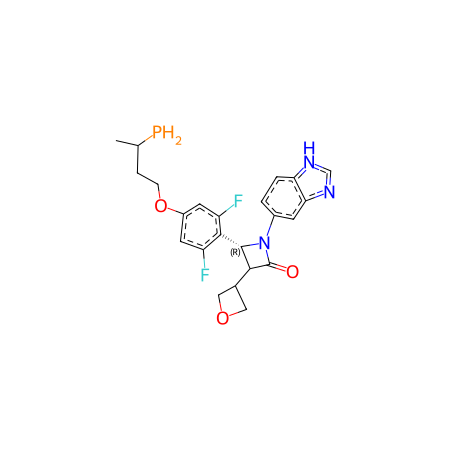 CC(P)CCOc1cc(F)c([C@H]2C(C3COC3)C(=O)N2c2ccc3[nH]cnc3c2)c(F)c1